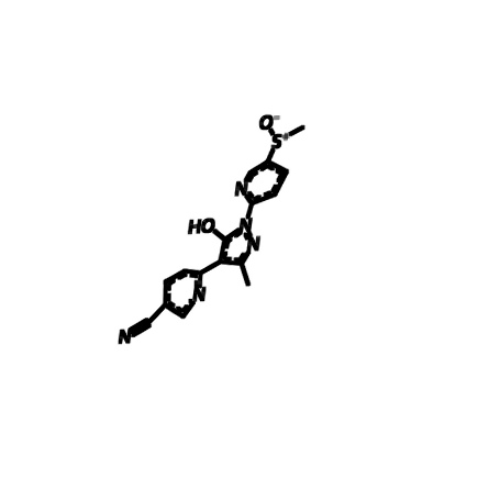 Cc1nn(-c2ccc([S+](C)[O-])cn2)c(O)c1-c1ccc(C#N)cn1